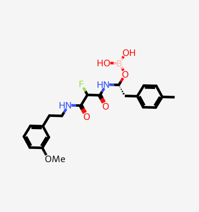 COc1cccc(CCNC(=O)C(F)C(=O)N[C@@H](Cc2ccc(C)cc2)OB(O)O)c1